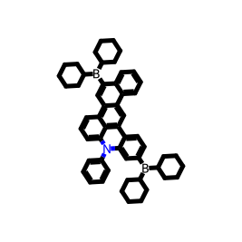 c1ccc(N2c3cc(B(C4CCCCC4)C4CCCCC4)ccc3-c3cc4c5ccccc5c(B(C5CCCCC5)C5CCCCC5)cc4c4cccc2c34)cc1